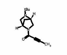 CC#CC(=O)N1C[C@@H]2C[C@H]1CN2C(C)(C)C